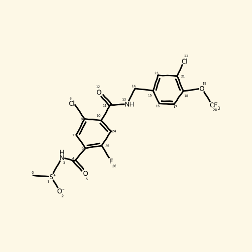 C[S+]([O-])NC(=O)c1cc(Cl)c(C(=O)NCc2ccc(OC(F)(F)F)c(Cl)c2)cc1F